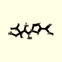 COC(=O)c1ncn([C@H](O)C(O)C(C)(CO)C(C)C)n1